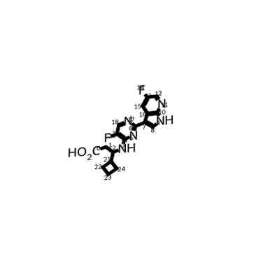 O=C(O)CC(Nc1nc(-c2c[nH]c3ncc(F)cc23)ncc1F)C1CCC1